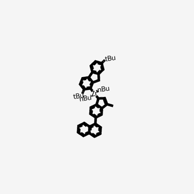 CCC[CH2][Zr]([CH2]CCC)([c]1c(C(C)(C)C)ccc2c1Cc1cc(C(C)(C)C)ccc1-2)[CH]1C=C(C)c2cc(-c3cccc4ccccc34)ccc21